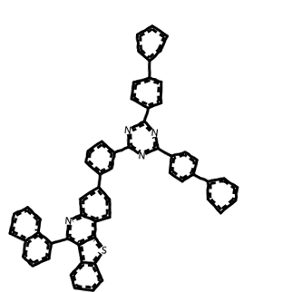 c1ccc(-c2ccc(-c3nc(-c4ccc(-c5ccccc5)cc4)nc(-c4cccc(-c5ccc6c(c5)nc(-c5cccc7ccccc57)c5c7ccccc7sc65)c4)n3)cc2)cc1